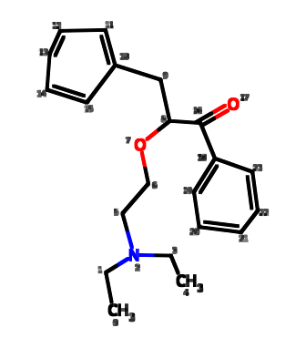 CCN(CC)CCOC(Cc1ccccc1)C(=O)c1ccccc1